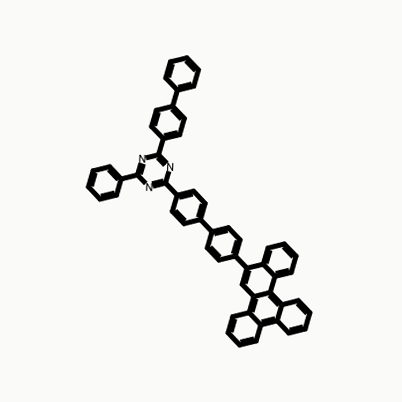 c1ccc(-c2ccc(-c3nc(-c4ccccc4)nc(-c4ccc(-c5ccc(-c6cc7c8ccccc8c8ccccc8c7c7ccccc67)cc5)cc4)n3)cc2)cc1